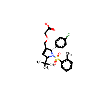 Cc1ccccc1S(=O)(=O)N1C(C(C)(C)C)C=C(COCC(=O)O)[C@@H]1c1ccc(Cl)cc1